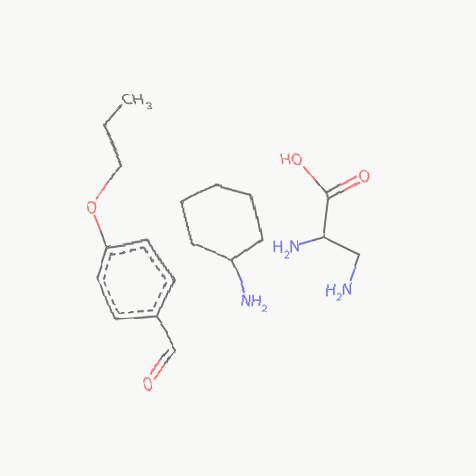 CCCOc1ccc(C=O)cc1.NC1CCCCC1.NCC(N)C(=O)O